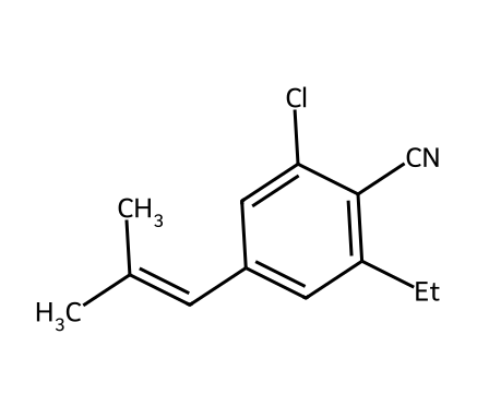 CCc1cc(C=C(C)C)cc(Cl)c1C#N